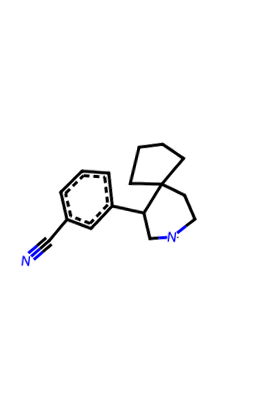 N#Cc1cccc(C2C[N]CCC23CCCC3)c1